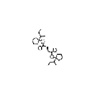 CCC(C)C1(OC(=O)/C=C/C(=O)OC2(C(C)CC)CCCC2)CCCC1